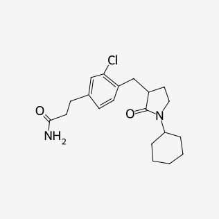 NC(=O)CCc1ccc(CC2CCN(C3CCCCC3)C2=O)c(Cl)c1